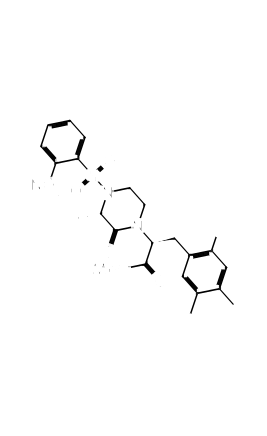 COC(=O)[C@H](Cc1cc(C)c(C)cc1F)N1CCN(S(=O)(=O)c2ccccc2[N+](=O)[O-])[C@@H](C)C1=O